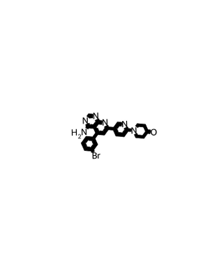 Nc1ncnc2nc(-c3ccc(N4CCC(=O)CC4)nc3)cc(-c3cccc(Br)c3)c12